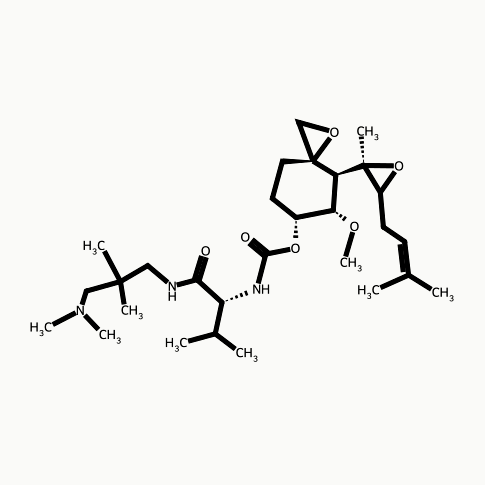 CO[C@@H]1[C@H](OC(=O)N[C@@H](C(=O)NCC(C)(C)CN(C)C)C(C)C)CC[C@]2(CO2)[C@H]1[C@@]1(C)OC1CC=C(C)C